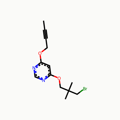 CC#CCOc1cc(OCC(C)(C)CBr)ncn1